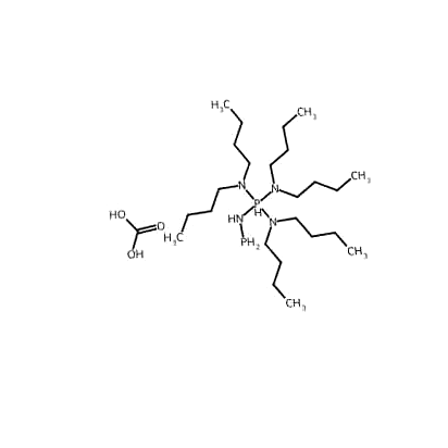 CCCCN(CCCC)[PH](NP)(N(CCCC)CCCC)N(CCCC)CCCC.O=C(O)O